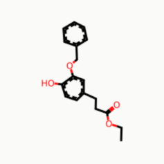 CCOC(=O)CCc1ccc(O)c(OCc2ccccc2)c1